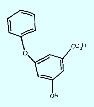 O=C(O)c1cc(O)cc(Oc2ccccc2)c1